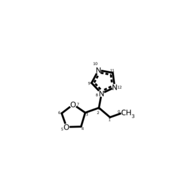 CC[C](C1COCO1)n1cncn1